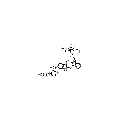 C[Si](C)(C)CCOCn1nc(C=C2Oc3c(ccc(O)c3CN3CCN(C(=O)O)CC3)C2=O)c2ccccc21